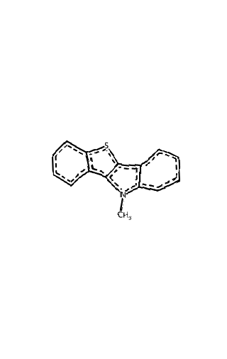 Cn1c2ccccc2c2sc3ccccc3c21